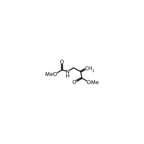 C=C(CNC(=O)OC)C(=O)OC